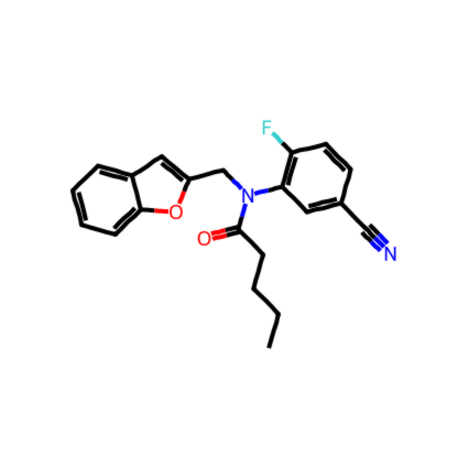 CCCCC(=O)N(Cc1cc2ccccc2o1)c1cc(C#N)ccc1F